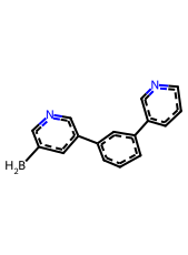 Bc1cncc(-c2cccc(-c3cccnc3)c2)c1